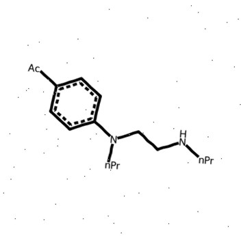 CCCNCCN(CCC)c1ccc(C(C)=O)cc1